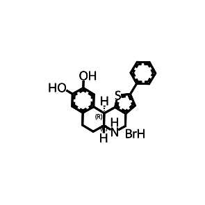 Br.Oc1cc2c(cc1O)[C@H]1c3sc(-c4ccccc4)cc3CN[C@@H]1CC2